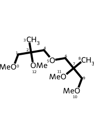 COCC(C)(COCC(C)(COC)OC)OC